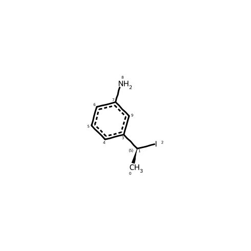 C[C@H](I)c1cccc(N)c1